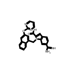 N=C(N)c1ccc2cc(C(=O)O)n(Cc3cc(Oc4ncccn4)cc4ccccc34)c2c1